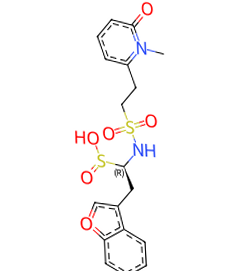 Cn1c(CCS(=O)(=O)N[C@@H](Cc2coc3ccccc23)S(=O)O)cccc1=O